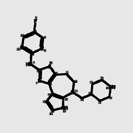 Fc1cnc(Nc2nc3c(s2)CCN(CC2CCNCC2)c2[nH]ncc2-3)nc1